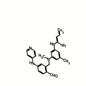 C=C/C=C(\CCC)Nc1cc(C)cc(N(C)Cc2cc(Nc3ccncc3)ccc2C=O)c1